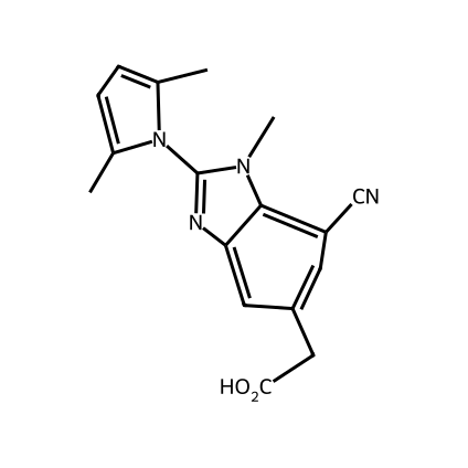 Cc1ccc(C)n1-c1nc2cc(CC(=O)O)cc(C#N)c2n1C